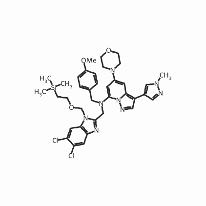 COc1ccc(CN(Cc2nc3cc(Cl)c(Cl)cc3n2COCC[Si](C)(C)C)c2cc(N3CCOCC3)cc3c(-c4cnn(C)c4)cnn23)cc1